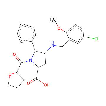 COc1ccc(Cl)cc1CNC1CC(C(=O)O)N(C(=O)C2CCCO2)C1c1ccccc1